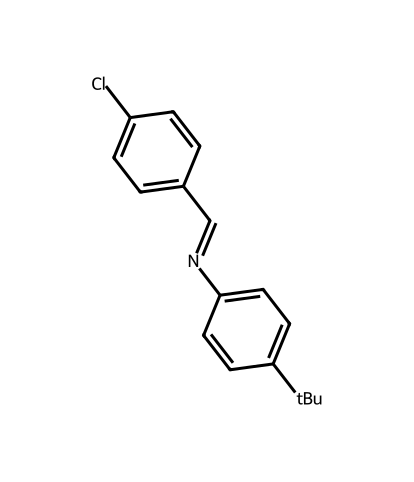 CC(C)(C)c1ccc(N=Cc2ccc(Cl)cc2)cc1